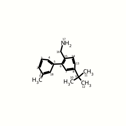 Cc1cccc(-c2cc(C(C)(C)C)ccc2CN)c1